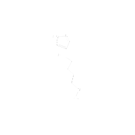 CCCCCNC.c1cn[nH]c1